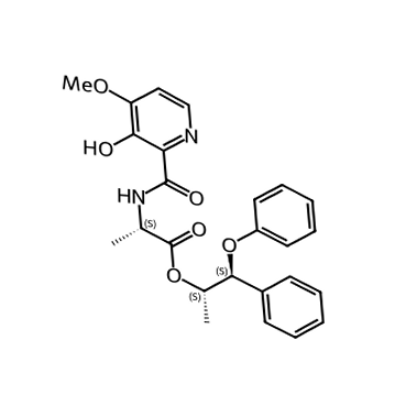 COc1ccnc(C(=O)N[C@@H](C)C(=O)O[C@@H](C)[C@@H](Oc2ccccc2)c2ccccc2)c1O